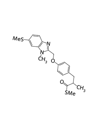 CSC(=O)C(C)Cc1ccc(OCc2nc3ccc(SC)cc3n2C)cc1